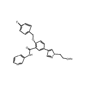 COCCn1cc(-c2ccc(OCc3ccc(F)cc3)c(C(=O)Nc3cccnc3)c2)cn1